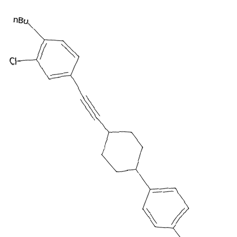 CCCCCCCc1ccc(C2CCC(C#Cc3ccc(CCCC)c(Cl)c3)CC2)cc1